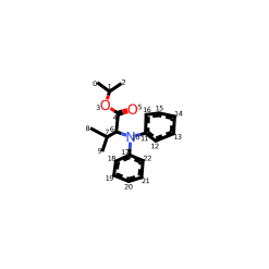 CC(C)OC(=O)C(C(C)C)N(c1ccccc1)c1ccccc1